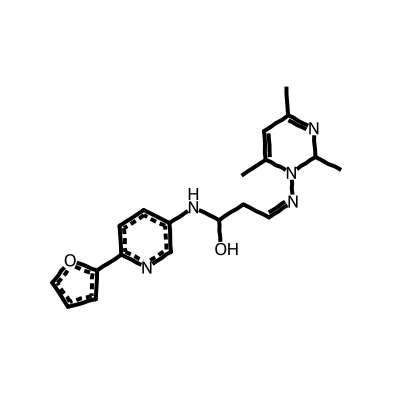 CC1=CC(C)=NC(C)N1/N=C\CC(O)Nc1ccc(-c2ccco2)nc1